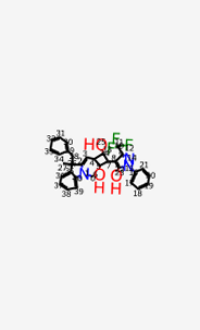 CN1C(=CC2C(O)C(c3c(C(F)(F)F)nn(-c4ccccc4)c3O)C2O)C(C)(Cc2ccccc2)c2ccccc21